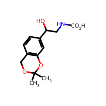 CC1(C)OCc2ccc(C(O)CNC(=O)O)cc2O1